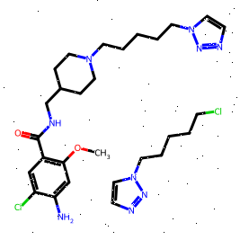 COc1cc(N)c(Cl)cc1C(=O)NCC1CCN(CCCCCn2ccnn2)CC1.ClCCCCCn1ccnn1